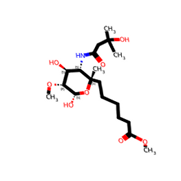 COC(=O)CCCCC[C@]1(C)O[C@H](O)[C@H](OC)[C@@H](O)[C@@H]1NC(=O)CC(C)(C)O